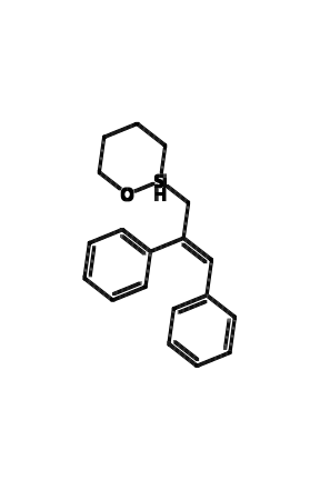 C(=C(C[SiH]1CCCCO1)c1ccccc1)c1ccccc1